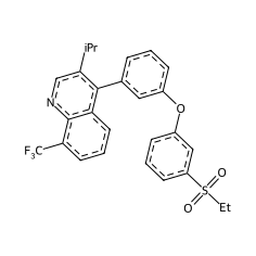 CCS(=O)(=O)c1cccc(Oc2cccc(-c3c(C(C)C)cnc4c(C(F)(F)F)cccc34)c2)c1